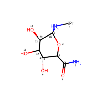 CC(C)N[C@H]1OC(C(N)=O)[C@H](O)C(O)[C@H]1O